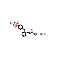 CN(O)C(=O)C=Cc1ccccc1Cc1ccc(S(C)(=O)=O)cc1